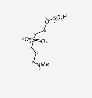 CNCCCS(=O)(=O)CCOS(=O)(=O)O